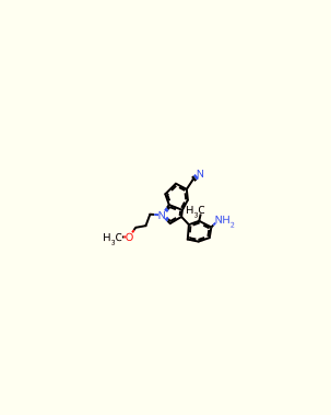 COCCCn1cc(-c2cccc(N)c2C)c2cc(C#N)ccc21